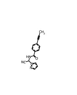 CC#Cc1ccc(C(=O)NC(C#N)n2cccn2)cc1